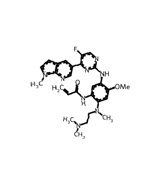 C=CC(=O)Nc1cc(Nc2ncc(F)c(-c3cnc4c(ccn4C)c3)n2)c(OC)cc1N(C)CCN(C)C